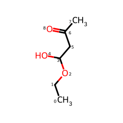 CCOC(O)CC(C)=O